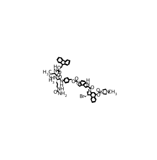 CC(C)[C@H](NC(=O)OCC1c2ccccc2-c2ccccc21)C(=O)N[C@@H](CCCNC(N)=O)C(=O)Nc1ccc(COC(=O)N2CCc3c2ccc2[nH]c(C(=O)N4C[C@@H](CBr)c5c4cc(OC(=O)N4CCN(C)CC4)c4ccccc54)cc32)cc1